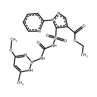 CCOC(=O)c1cnn(-c2ccccn2)c1S(=O)(=O)NC(=O)NN1N=C(OC)C=C(C)N1